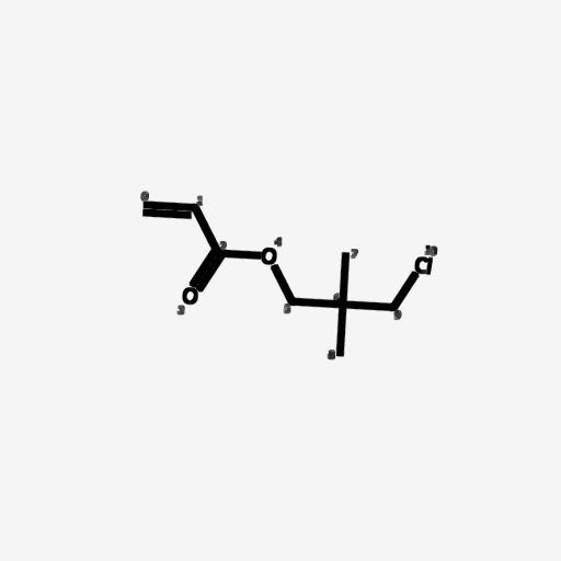 C=CC(=O)OCC(C)(C)CCl